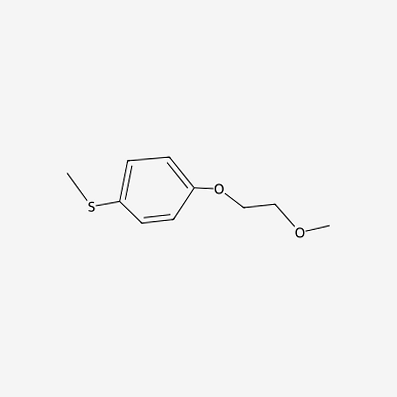 COCCOc1ccc(SC)cc1